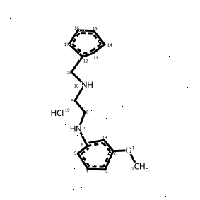 COc1cccc(NCCNCc2ccccc2)c1.Cl